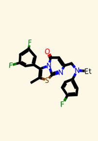 CCN(Cc1cc(=O)n2c(-c3cc(F)cc(F)c3)c(C)sc2n1)c1ccc(F)cc1